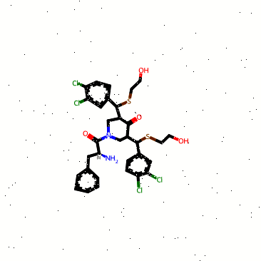 N[C@@H](Cc1ccccc1)C(=O)N1CC(C(SCCO)c2ccc(Cl)c(Cl)c2)C(=O)C(C(SCCO)c2ccc(Cl)c(Cl)c2)C1